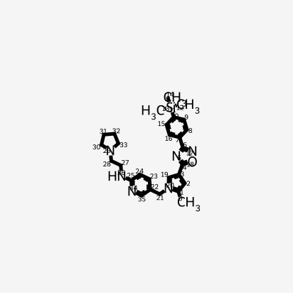 Cc1cc(-c2nc(-c3ccc([Si](C)(C)C)cc3)no2)cn1Cc1ccc(NCCN2CCCC2)nc1